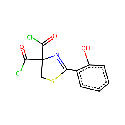 O=C(Cl)C1(C(=O)Cl)CSC(c2ccccc2O)=N1